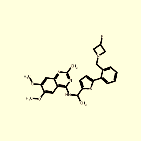 COc1cc2nc(C)nc(NC(C)c3ccc(-c4ccccc4CN4CC(F)C4)s3)c2cc1OC